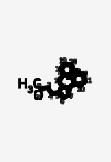 CC(=O)CCC1=CC=C(c2ccccc2)C1Cc1ccccc1